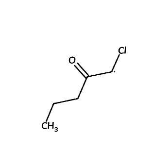 CCCC(=O)[CH]Cl